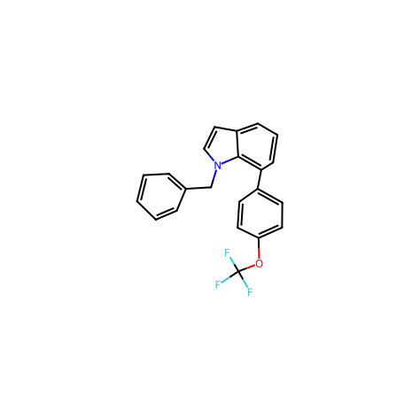 FC(F)(F)Oc1ccc(-c2cccc3ccn(Cc4ccccc4)c23)cc1